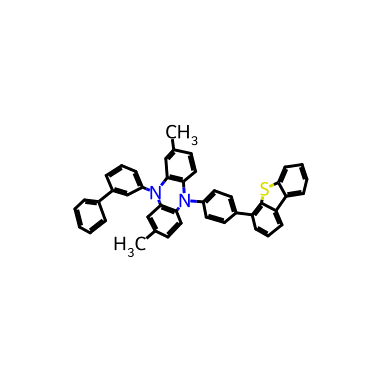 Cc1ccc2c(c1)N(c1cccc(-c3ccccc3)c1)c1cc(C)ccc1N2c1ccc(-c2cccc3c2sc2ccccc23)cc1